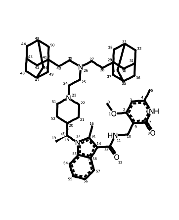 COc1cc(C)[nH]c(=O)c1CNC(=O)c1c(C)n([C@@H](C)C2CCN(CCN(CCC34CC5CC(CC(C5)C3)C4)CCC34CC5CC(CC(C5)C3)C4)CC2)c2ccccc12